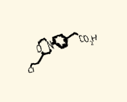 O=C(O)Cc1ccc(N2CCOC(CCCl)C2)cc1